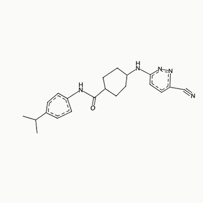 CC(C)c1ccc(NC(=O)C2CCC(Nc3ccc(C#N)nn3)CC2)cc1